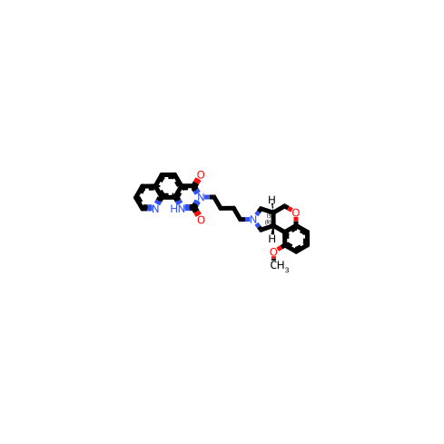 COc1cccc2c1[C@@H]1CN(CCCCn3c(=O)[nH]c4c(ccc5cccnc54)c3=O)C[C@H]1CO2